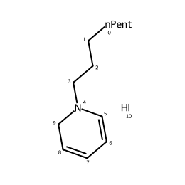 CCCCCCCCN1C=CC=CC1.I